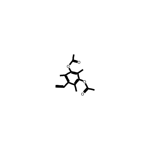 C=Cc1c(C)c(OC(C)=O)c(C)c(OC(C)=O)c1C